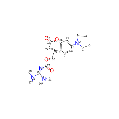 CCN(CC)c1ccc2c(COC(=O)N=C(N(C)C)N(C)C)cc(=O)oc2c1